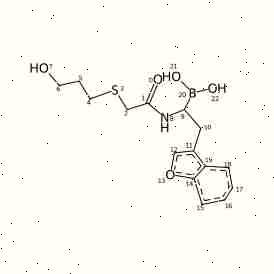 O=C(CSCCCO)NC(Cc1coc2ccccc12)B(O)O